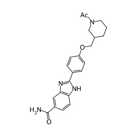 CC(=O)N1CCCC(COc2ccc(-c3nc4cc(C(N)=O)ccc4[nH]3)cc2)C1